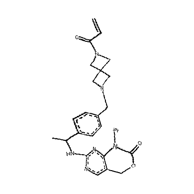 C=CC(=O)N1CC2(CN(Cc3ccc(C(C)Nc4ncc5c(n4)N(C(C)C)C(=O)OC5)cc3)C2)C1